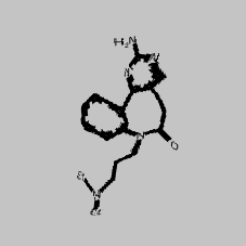 CCN(CC)CCCN1C(=O)Cc2cnc(N)nc2-c2ccccc21